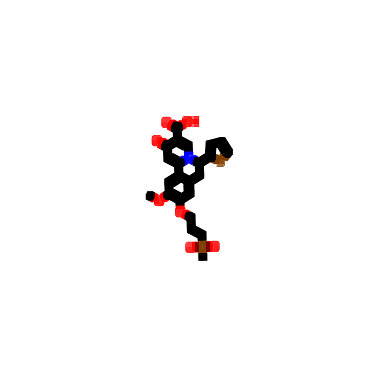 COc1cc2c(cc1OCCCS(C)(=O)=O)CC(c1cccs1)n1cc(C(=O)O)c(=O)cc1-2